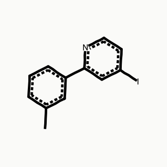 Cc1cccc(-c2cc(I)ccn2)c1